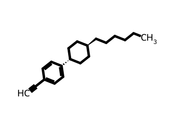 C#Cc1ccc([C@H]2CC[C@H](CCCCCC)CC2)cc1